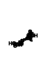 CCCc1c(OCCCCSc2nnc(SCC(=O)O)s2)ccc(C(C)=O)c1O